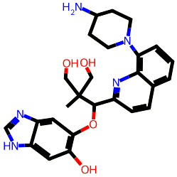 CC(CO)(CO)C(Oc1cc2nc[nH]c2cc1O)c1ccc2cccc(N3CCC(N)CC3)c2n1